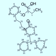 CCC(Oc1ccccc1CCCn1cc(C(c2ccccc2)c2ccccc2)ccc1=O)C(=O)O